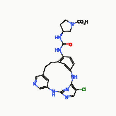 O=C(Nc1ccc2cc1CCc1cncc(c1)Nc1ncc(Cl)c(n1)N2)N[C@H]1CCN(C(=O)O)C1